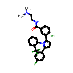 CN(C)CCNC(=O)c1cccc(-c2ccc(-c3ccc(F)cc3)n2-c2ccccc2C(F)(F)F)c1.Cl